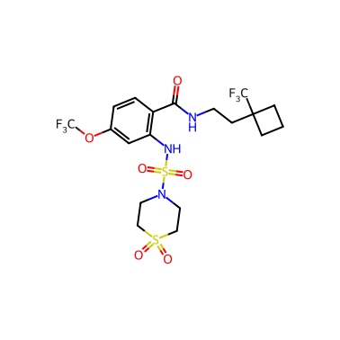 O=C(NCCC1(C(F)(F)F)CCC1)c1ccc(OC(F)(F)F)cc1NS(=O)(=O)N1CCS(=O)(=O)CC1